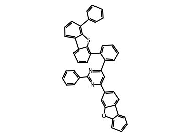 c1ccc(-c2nc(-c3ccc4c(c3)oc3ccccc34)cc(-c3ccccc3-c3cccc4c3sc3c(-c5ccccc5)cccc34)n2)cc1